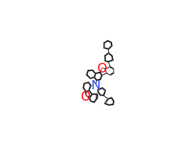 c1ccc2oc3cccc(N(c4ccc(-c5ccccc5)cc4)c4cc5c(c6ccccc46)OC4C(c6ccc(-c7ccccc7)cc6)=CC=CC54)c3c2c#1